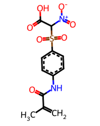 C=C(C)C(=O)Nc1ccc(S(=O)(=O)C(C(=O)O)[N+](=O)[O-])cc1